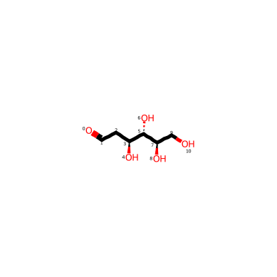 O=CC[C@H](O)[C@H](O)[C@H](O)CO